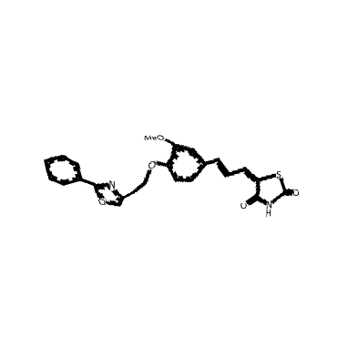 COc1cc(C=CC=C2SC(=O)NC2=O)ccc1OCc1coc(-c2ccccc2)n1